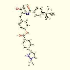 CC(=O)[C@H](Cc1ccc(OC(=O)c2ccc(-c3ccn(C)n3)cc2)cc1)NC(=O)c1ccc(C(C)(C)C)cc1